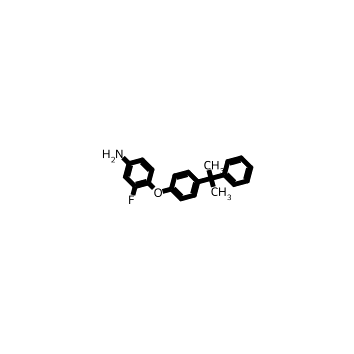 CC(C)(c1ccccc1)c1ccc(Oc2ccc(N)cc2F)cc1